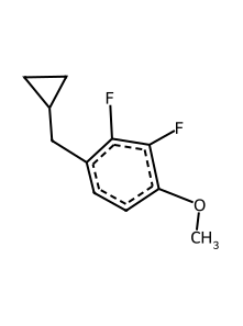 COc1ccc(CC2CC2)c(F)c1F